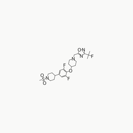 CC(C)(F)c1noc(CN2CCC(Oc3c(F)cc(C4CCN(S(C)(=O)=O)CC4)cc3F)CC2)n1